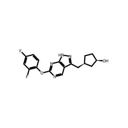 O[C@@H]1CC[C@H](Cc2n[nH]c3nc(Oc4ccc(F)cc4F)ncc23)C1